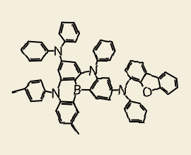 Cc1ccc(N2c3ccc(C)cc3B3c4ccc(N(c5ccccc5)c5cccc6c5oc5ccccc56)cc4N(c4ccccc4)c4cc(N(c5ccccc5)c5ccccc5)cc2c43)cc1